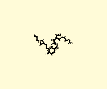 C=CCN1CC(CCn2c(=O)ccc3cnc(Nc4cnn(CCOC(C)C)c4)nc32)C1